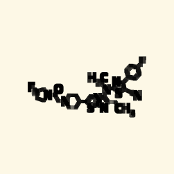 CCc1nc2sc(C3CCN(CC(=O)N4CC[C@@H](F)C4)CC3)cn2c1N(CC)c1nc(-c2ccc(F)cc2)c(C#N)s1